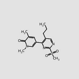 CCCc1cnc(S(C)(=O)=O)nc1-c1cc(C)c(=O)n(C)c1